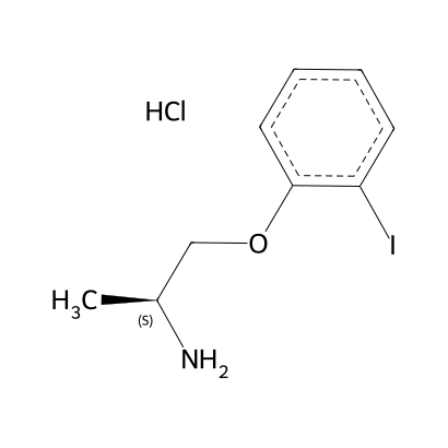 C[C@H](N)COc1ccccc1I.Cl